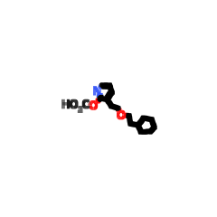 O=C(O)Oc1ncccc1CCOCCC1CCCCC1